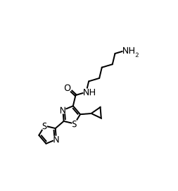 NCCCCCNC(=O)c1nc(-c2nccs2)sc1C1CC1